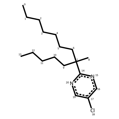 CCCCCCCC(C)(CCCCC)c1ncc(Cl)cn1